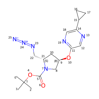 CC(C)(C)OC(=O)N1C[C@H](Oc2cnc(C3CC3)cn2)C[C@H]1CN=[N+]=[N-]